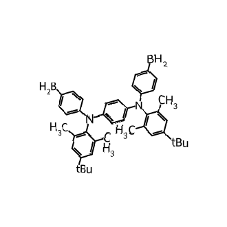 Bc1ccc(N(c2ccc(N(c3ccc(B)cc3)c3c(C)cc(C(C)(C)C)cc3C)cc2)c2c(C)cc(C(C)(C)C)cc2C)cc1